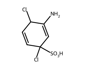 NC1=CC(Cl)(S(=O)(=O)O)C=CC1Cl